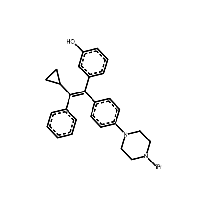 CC(C)N1CCN(c2ccc(/C(=C(\c3ccccc3)C3CC3)c3cccc(O)c3)cc2)CC1